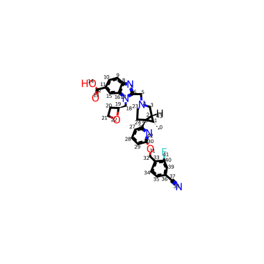 C[C@H]1[C@H]2CN(Cc3nc4ccc(C(=O)O)cc4n3C[C@@H]3CCO3)CC[C@]21c1cccc(OCc2ccc(C#N)cc2F)n1